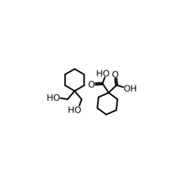 O=C(O)C1(C(=O)O)CCCCC1.OCC1(CO)CCCCC1